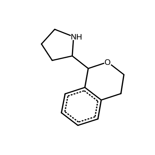 c1ccc2c(c1)CCOC2C1CCCN1